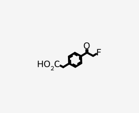 O=C(O)Cc1ccc(C(=O)CF)cc1